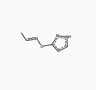 C[C]=NOc1cc[nH]n1